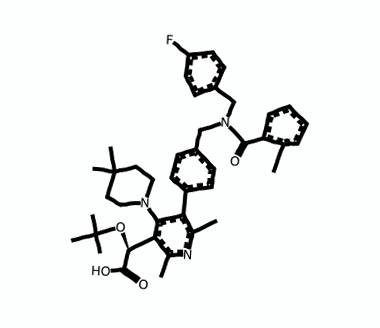 Cc1ccccc1C(=O)N(Cc1ccc(F)cc1)Cc1ccc(-c2c(C)nc(C)c([C@H](OC(C)(C)C)C(=O)O)c2N2CCC(C)(C)CC2)cc1